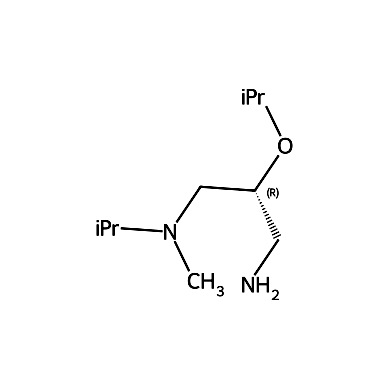 CC(C)O[C@H](CN)CN(C)C(C)C